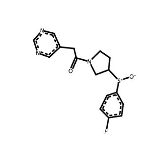 O=C(Cc1cncnc1)N1CCC([S+]([O-])c2ccc(F)cc2)C1